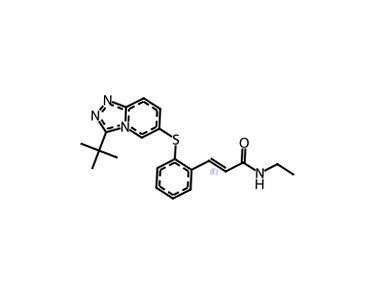 CCNC(=O)/C=C/c1ccccc1Sc1ccc2nnc(C(C)(C)C)n2c1